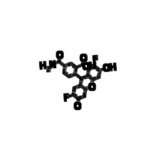 NC(=O)c1ccc(-c2c3cc(F)c(=O)cc-3oc3cc(O)c(F)cc23)c(C(=O)O)c1